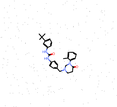 Cc1ccccc1N1CN(Cc2ccc(NC(=O)Nc3cccc(C(C)(C)C)c3)cc2)CCC1=O